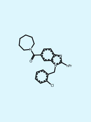 CCCc1nc2ccc(C(=O)N3CCCCCC3)cc2n1Cc1ccccc1Cl